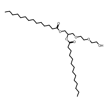 CCCCCCCCCCCCCC(=O)OCC(COCCOCCO)OC(=O)CCCCCCCCCCCCC